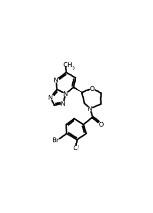 Cc1cc([C@@H]2CN(C(=O)c3ccc(Br)c(Cl)c3)CCO2)n2ncnc2n1